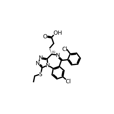 CCSc1nnc2n1-c1ccc(Cl)cc1C(c1ccccc1Cl)=N[C@H]2CCC(=O)O